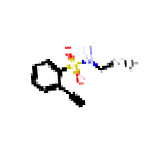 [C]#Cc1ccccc1S(=O)(=O)NCC(=O)O